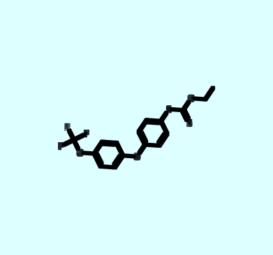 CCOC(=S)Sc1ccc(Oc2ccc(OC(F)(F)F)cc2)cc1